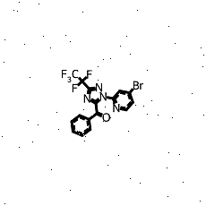 O=C(c1ccccc1)c1nc(C(F)(F)C(F)(F)F)nn1-c1cc(Br)ccn1